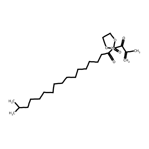 C=C(C)[C](=O)[Zr]1(=[O])([C](=O)CCCCCCCCCCCCCCC(C)C)[O]CC[O]1